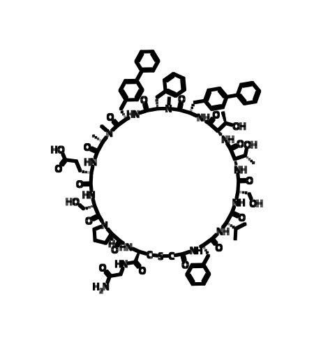 CC(C)[C@@H]1NC(=O)[C@H](Cc2ccccc2)NC(=O)CSC[C@@H](C(=O)NCC(N)=O)NC(=O)[C@@H]2CCCN2C(=O)[C@H](CO)NC(=O)[C@H](CCC(=O)O)NC(=O)[C@H](C)N(C)C(=O)[C@H](Cc2ccc(-c3ccccc3)cc2)NC(=O)[C@H](Cc2ccccc2)N(C)C(=O)[C@H](Cc2ccc(-c3ccccc3)cc2)NC(=O)[C@H]([C@@H](C)O)NC(=O)[C@H]([C@@H](C)O)NC(=O)[C@H](CO)NC1=O